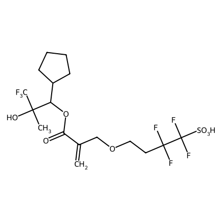 C=C(COCCC(F)(F)C(F)(F)S(=O)(=O)O)C(=O)OC(C1CCCC1)C(C)(O)C(F)(F)F